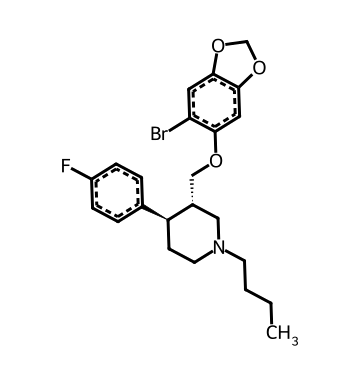 CCCCN1CC[C@@H](c2ccc(F)cc2)[C@H](COc2cc3c(cc2Br)OCO3)C1